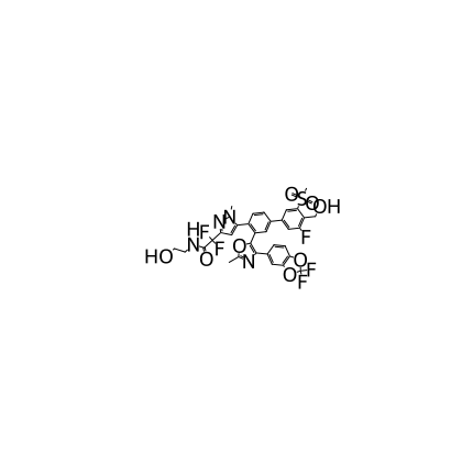 Cc1nc(-c2ccc3c(c2)OC(F)(F)O3)c(-c2cc(-c3cc(F)c(CO)c(S(C)(=O)=O)c3)ccc2-c2cc(C(F)(F)C(=O)NCCO)nn2C)o1